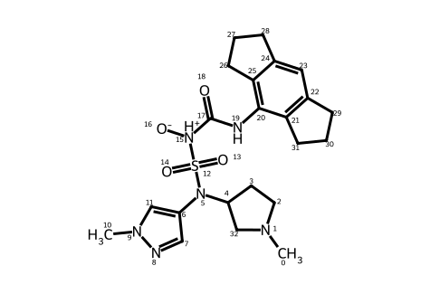 CN1CCC(N(c2cnn(C)c2)S(=O)(=O)[NH+]([O-])C(=O)Nc2c3c(cc4c2CCC4)CCC3)C1